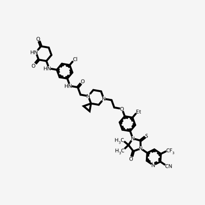 CCc1cc(N2C(=S)N(c3cnc(C#N)c(C(F)(F)F)c3)C(=O)C2(C)C)ccc1OCCN1CCN(CC(=O)Nc2cc(Cl)cc(NC3CCC(=O)NC3=O)c2)C2(CC2)C1